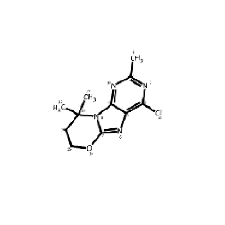 Cc1nc(Cl)c2nc3n(c2n1)C(C)(C)CCO3